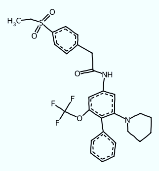 CCS(=O)(=O)c1ccc(CC(=O)Nc2cc(OC(F)(F)F)c(-c3ccccc3)c(N3CCCCC3)c2)cc1